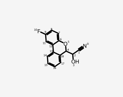 N#CC(O)C1Oc2ccc(F)cc2-c2ccccc21